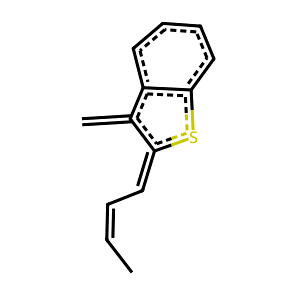 C=c1/c(=C\C=C/C)sc2ccccc12